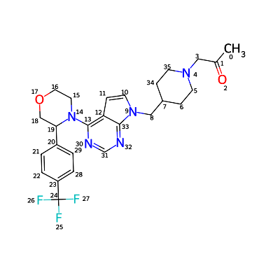 CC(=O)CN1CCC(Cn2ccc3c(N4CCOCC4c4ccc(C(F)(F)F)cc4)ncnc32)CC1